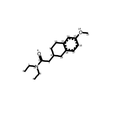 CCN(CC)C(=O)CC1CCc2cc(OC)ccc2C1